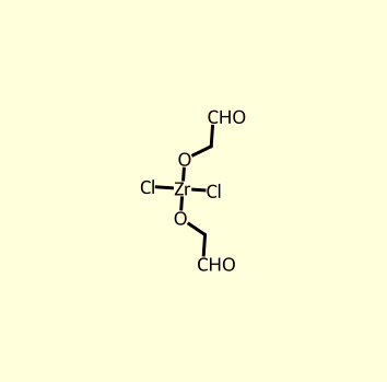 O=CC[O][Zr]([Cl])([Cl])[O]CC=O